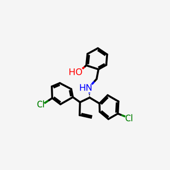 C=CC(c1cccc(Cl)c1)[C@H](NCc1ccccc1O)c1ccc(Cl)cc1